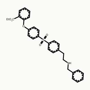 CCOC(=O)c1ccccc1Oc1ccc(S(=O)(=O)c2ccc(CCNCc3ccccc3)cc2)cc1